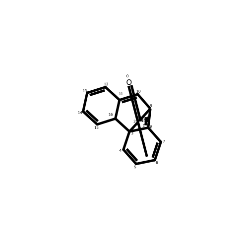 O=C1NC23C=CC=CC2=C1C=C1C=CC=CC13